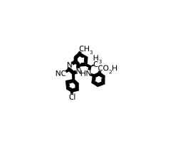 Cc1cc([C@@H](C)Nc2ccccc2C(=O)O)c2nc(-c3ccc(Cl)cc3)c(C#N)nc2c1